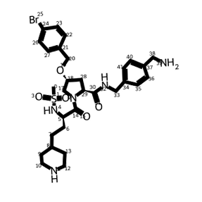 CS(=O)(=O)N[C@H](CCC1CCNCC1)C(=O)N1C[C@H](OCc2ccc(Br)cc2)C[C@H]1C(=O)NCc1ccc(CN)cc1